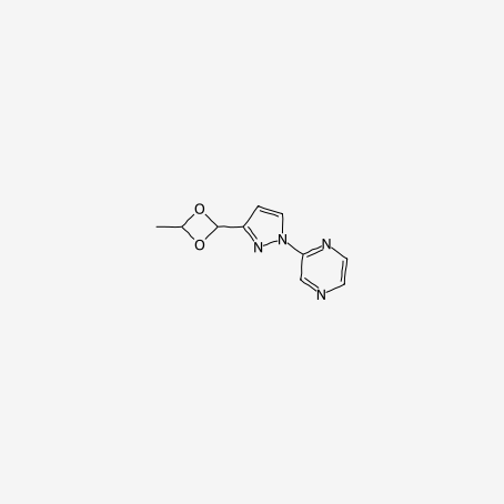 CC1OC(c2ccn(-c3cnccn3)n2)O1